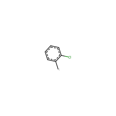 [C]c1ccccc1Cl